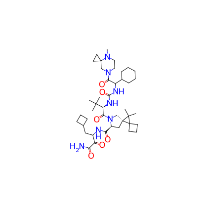 CN1CCN(C(=O)C(NC(=O)N[C@@H](C(=O)N2C[C@]3(C[C@H]2C(=O)NC(CC2CCC2)C(=O)C(N)=O)C(C)(C)C32CCC2)C(C)(C)C)C2CCCCC2)CC12CC2